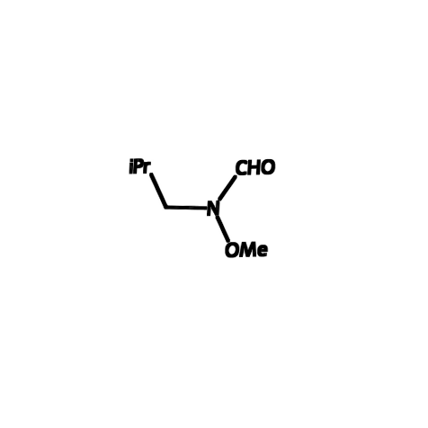 CON(C=O)CC(C)C